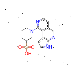 O=S(=O)(O)C1CCCN(c2nccc3cnc4[nH]ccc4c23)C1